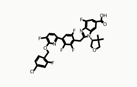 CC1(C)COC[C@H]1n1c(Cc2c(F)cc(-c3ccc(F)c(OCc4ccc(Cl)cc4F)n3)c(F)c2F)nc2c(F)cc(C(=O)O)cc21